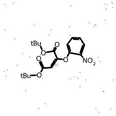 CC(C)(C)OC(=O)/C=C(/Oc1ccccc1[N+](=O)[O-])C(=O)OC(C)(C)C